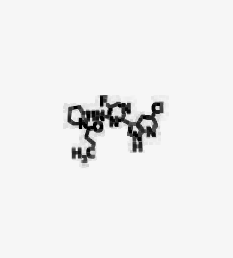 CCCC(=O)N1CCCCC1CNc1nc(-c2c[nH]c3ncc(Cl)cc23)ncc1F